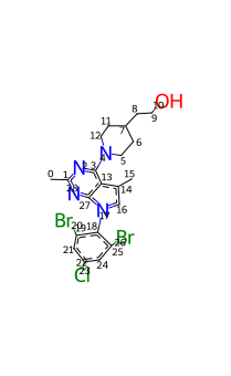 Cc1nc(N2CCC(CCO)CC2)c2c(C)cn(-c3c(Br)cc(Cl)cc3Br)c2n1